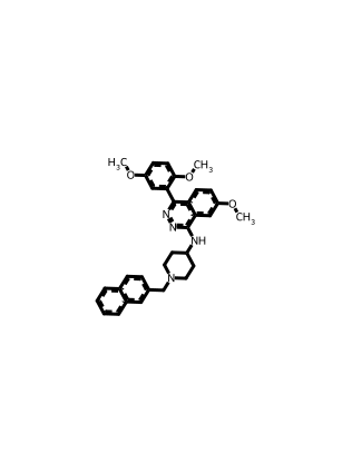 COc1ccc(OC)c(-c2nnc(NC3CCN(Cc4ccc5ccccc5c4)CC3)c3cc(OC)ccc23)c1